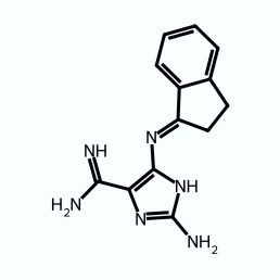 N=C(N)c1nc(N)[nH]c1N=C1CCc2ccccc21